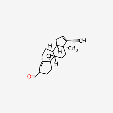 C#CC1=CC[C@H]2[C@@H]3CCC4=CC(C=O)CC[C@]4(C)[C@H]3CC[C@]12C